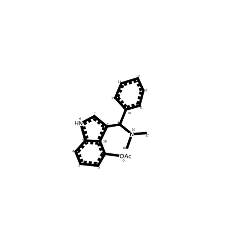 CC(=O)Oc1cccc2[nH]cc(C(c3ccccc3)N(C)C)c12